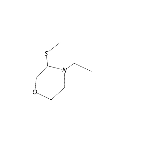 CCN1CCOCC1SC